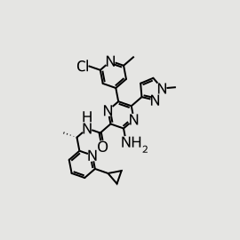 Cc1cc(-c2nc(C(=O)N[C@@H](C)c3cccc(C4CC4)n3)c(N)nc2-c2ccn(C)n2)cc(Cl)n1